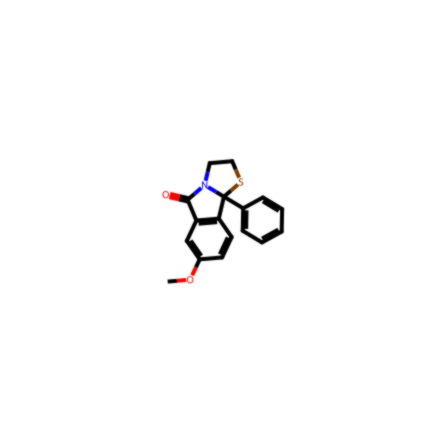 COc1ccc2c(c1)C(=O)N1CCSC21c1ccccc1